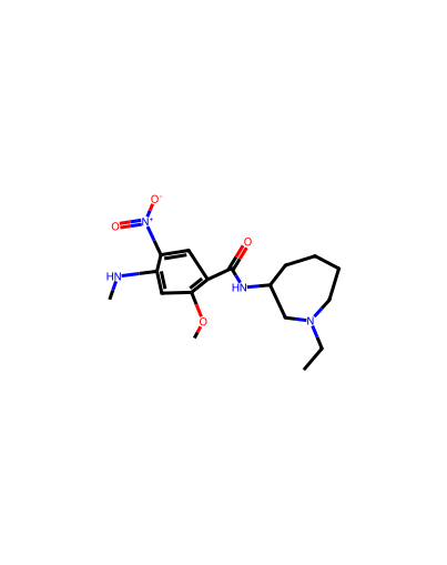 CCN1CCCCC(NC(=O)c2cc([N+](=O)[O-])c(NC)cc2OC)C1